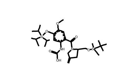 C=C1CC(CO[Si](C)(C)C(C)(C)C)N(C(=O)c2cc(OC)c(O[Si](C(C)C)(C(C)C)C(C)C)cc2NC(=O)O)C1